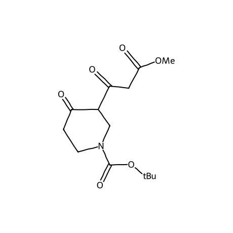 COC(=O)CC(=O)C1CN(C(=O)OC(C)(C)C)CCC1=O